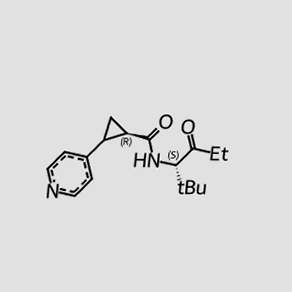 CCC(=O)[C@@H](NC(=O)[C@@H]1CC1c1ccncc1)C(C)(C)C